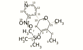 CCC1=C(O[Si](C)(C)C)C[C@H](c2ccncc2[N+](=O)[O-])O[C@@H]1C